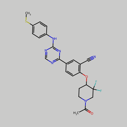 CSc1ccc(Nc2ncnc(-c3ccc(OC4CCN(C(C)=O)CC4(F)F)c(C#N)c3)n2)cc1